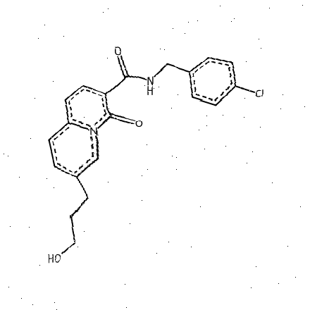 O=C(NCc1ccc(Cl)cc1)c1ccc2ccc(CCCO)cn2c1=O